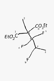 CCOC(=O)C(C)(C(=O)OCC)C(F)(F)C(C)F